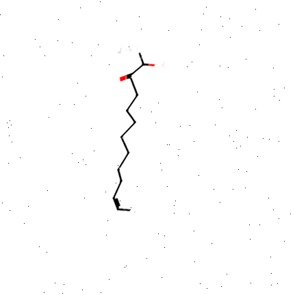 CCCCCCCC/C=C\CCCCCCCC(=O)C(O)CCCCC